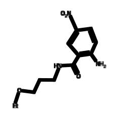 CCOCCCNC(=O)c1cc([N+](=O)[O-])ccc1N